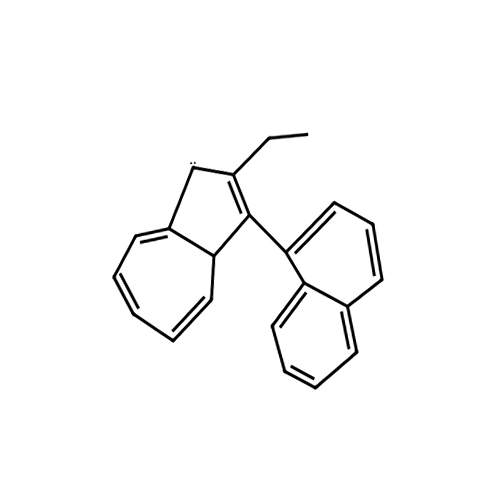 CCC1=C(c2cccc3ccccc23)C2C=CC=CC=C2[C]1